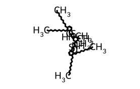 CCCCCCCCCCc1cccc(OC(=S)NCC2(C)CC(NC(=S)Oc3cccc(CCCCCCCCCC)c3CCCCCCCCCC)CC(C)(C)C2)c1CCCCCCCCCC